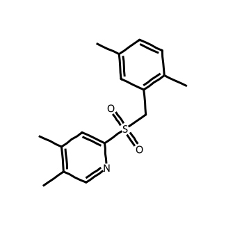 Cc1ccc(C)c(CS(=O)(=O)c2cc(C)c(C)cn2)c1